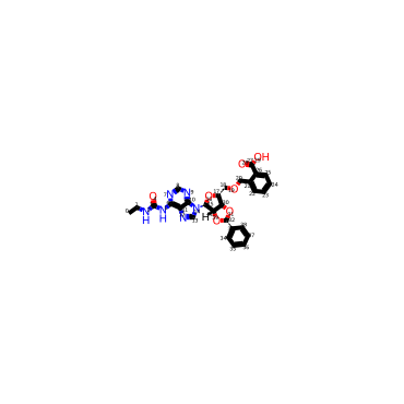 CCNC(=O)Nc1ncnc2c1ncn2[C@@H]1O[C@H](COCc2ccccc2C(=O)O)C2O[C@H](c3ccccc3)O[C@@H]21